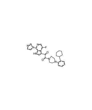 O=C(C(=O)N1CCN(c2ccccc2C2CCCCC2)CC1)c1c[nH]c2c(-n3ccnn3)ncc(F)c12